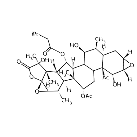 CC(=O)O[C@H]1CC2C([C@@H](O)[C@@H](C)[C@H]3C[C@@H]4O[C@@H]4[C@H](O)[C@]23C(C)=O)[C@@H]2[C@@H](OC(=O)CC(C)C)[C@@H]3[C@H]([C@H](C)[C@H]4O[C@]45OC(=O)[C@@](C)(O)[C@]35C)[C@@]12C